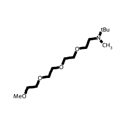 COCCOCCOCCOCCN(C)C(C)(C)C